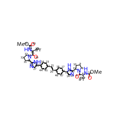 COC(=O)NC(C(=O)N1CCCC1c1ncc(-c2ccc(C=Cc3ccc(-c4cnc(C5CCCN5C(=O)C(NC(=O)OC)C(C)C)[nH]4)cc3)cc2)[nH]1)C(C)C